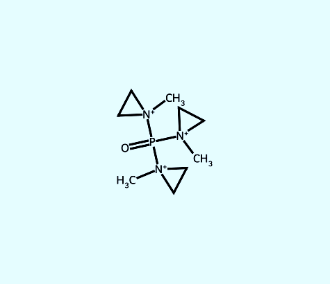 C[N+]1(P(=O)([N+]2(C)CC2)[N+]2(C)CC2)CC1